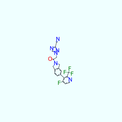 N#Cc1ncn(CC(=O)N2Cc3ccc(-c4c(F)ccnc4C(F)(F)F)cc3C2)n1